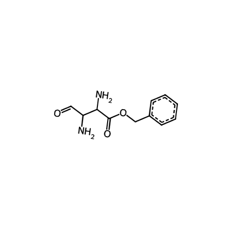 NC(C=O)C(N)C(=O)OCc1ccccc1